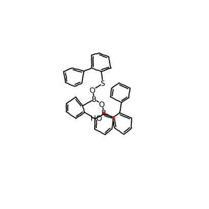 OB(OB(OSc1ccccc1-c1ccccc1)c1ccccc1-c1ccccc1)c1ccccc1-c1ccccc1